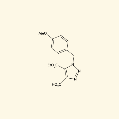 CCOC(=O)c1c(C(=O)O)nnn1Cc1ccc(OC)cc1